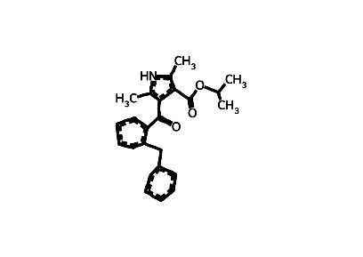 Cc1[nH]c(C)c(C(=O)c2ccccc2Cc2ccccc2)c1C(=O)OC(C)C